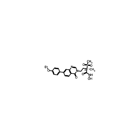 CCOc1ccc(-c2ccc3c(=O)n(CC[C@](C)(C(=O)NO)S(C)(=O)=O)cnc3c2)cc1